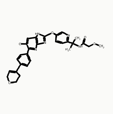 COCC(=O)NC(C)(C)c1ccc(Oc2nc3nc(-c4ccc(C5=CCOCC5)cc4)c(Cl)cc3[nH]2)cn1